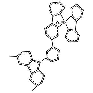 Cc1ccc2c(c1)c1cc(C)ccc1n2-c1cccc(-c2ccc3c(c2)S2(=O)(c4ccccc4-c4ccccc42)c2ccccc2-3)c1